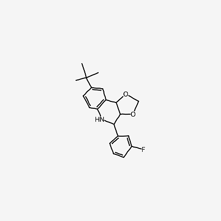 CC(C)(C)c1ccc2c(c1)C1OCOC1C(c1cccc(F)c1)N2